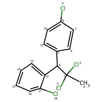 CC(Cl)(Cl)C(c1ccc(Cl)cc1)c1ccccc1Cl